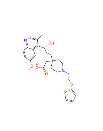 COc1ccc2ncc(C)c([C@H](O)CCC3(CC(=O)O)CCN(CCSc4cccs4)CC3)c2c1